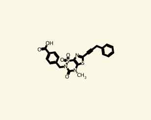 CN1C(=O)N(Cc2ccc(C(=O)O)cc2)S(=O)(=O)c2nc(C#CCc3ccccc3)sc21